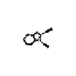 C#Cc1cc2ccccc2n1C#C